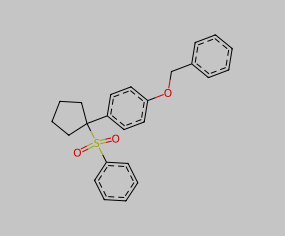 O=S(=O)(c1ccccc1)C1(c2ccc(OCc3ccccc3)cc2)CCCC1